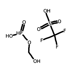 O=S(=O)(O)C(F)(F)F.O=[PH](O)OCO